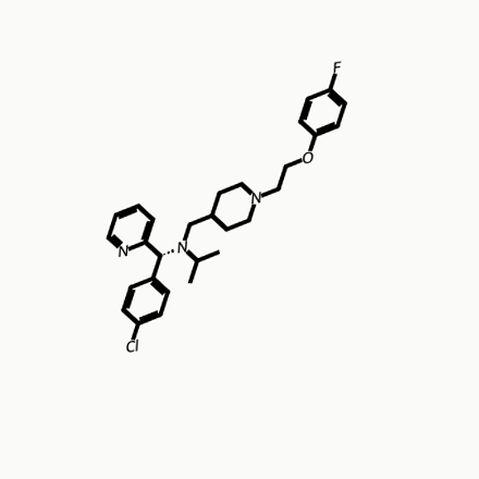 CC(C)N(CC1CCN(CCOc2ccc(F)cc2)CC1)[C@H](c1ccc(Cl)cc1)c1ccccn1